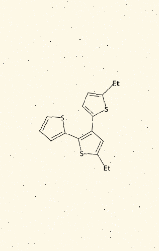 CCc1ccc(-c2cc(CC)sc2-c2cccs2)s1